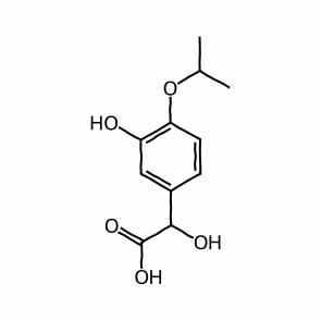 CC(C)Oc1ccc(C(O)C(=O)O)cc1O